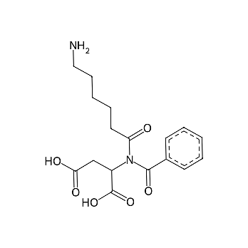 NCCCCCC(=O)N(C(=O)c1ccccc1)C(CC(=O)O)C(=O)O